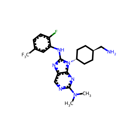 CN(C)c1ncc2nc(Nc3cc(C(F)(F)F)ccc3F)n([C@H]3CC[C@H](CN)CC3)c2n1